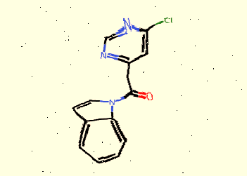 O=C(c1cc(Cl)ncn1)n1ccc2ccccc21